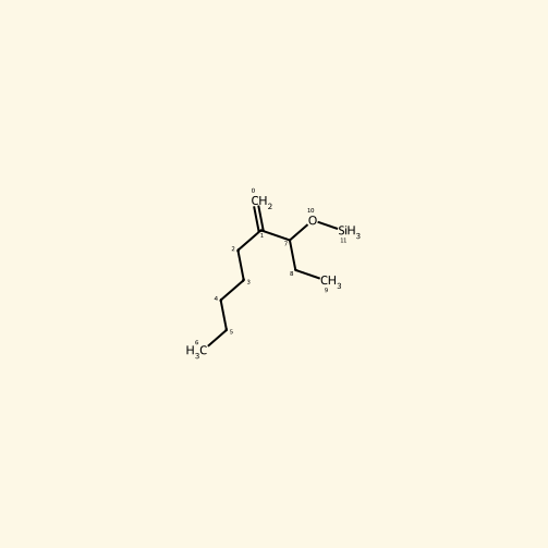 C=C(CCCCC)C(CC)O[SiH3]